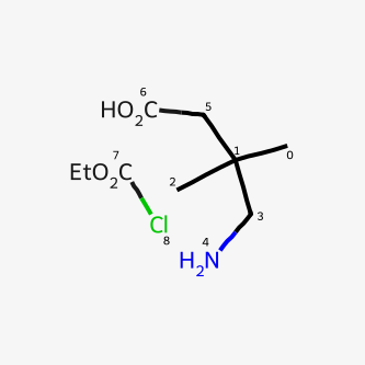 CC(C)(CN)CC(=O)O.CCOC(=O)Cl